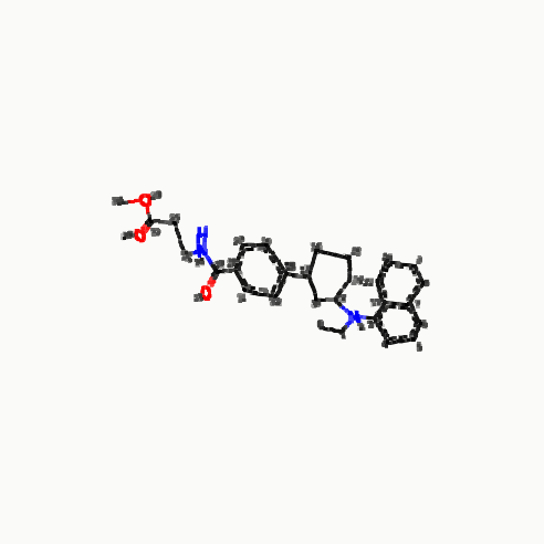 CCN(c1cccc2ccccc12)C1CCCC(c2ccc(C(=O)NCCC(=O)OC)cc2)C1